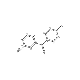 Cc1ccc(C(=O)c2cccc(Br)c2)cc1